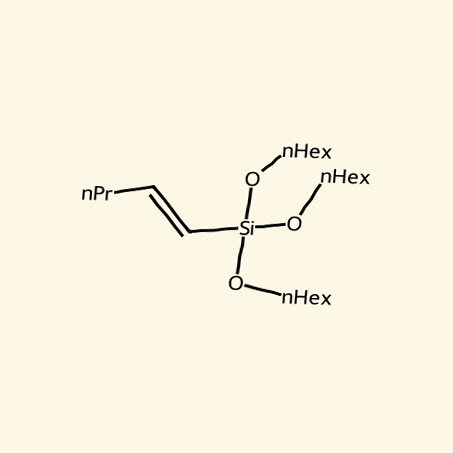 CCCC=C[Si](OCCCCCC)(OCCCCCC)OCCCCCC